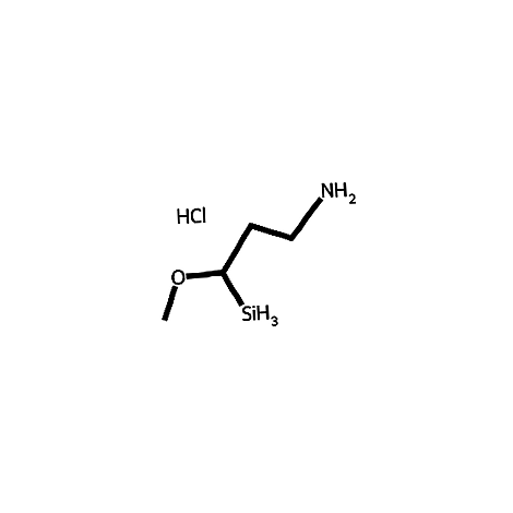 COC([SiH3])CCN.Cl